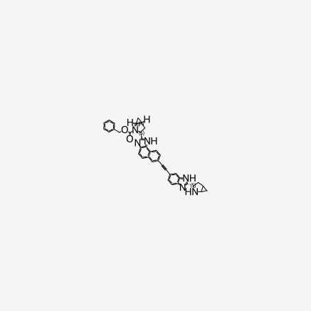 O=C(OCc1ccccc1)N1[C@@H]2C[C@@H]2C[C@H]1c1nc2ccc3cc(C#Cc4ccc5nc([C@@H]6CC7CC7N6)[nH]c5c4)ccc3c2[nH]1